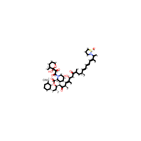 COC1CCC[C@@H](C[C@@H](C)[C@H](CC(=O)[C@H](C)/C=C(\C)[C@@H](O)CC(=O)C(C)C[C@H](C)/C=C/C=C/C=C(\C)C(C)N2CCC[S+]2[O-])OC(=O)[C@@H]2CCCCN2C(=O)C(=O)C2(O)OCCCC2C)C1